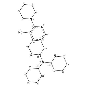 N#Cc1c(N2CCCCC2)ncc2c1CCN(N(C1CCCCC1)C1CCCCC1)C2